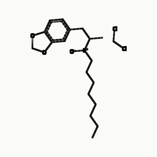 CCCCCCCC[S+]([O-])C(C)Cc1ccc2c(c1)OCO2.ClCCl